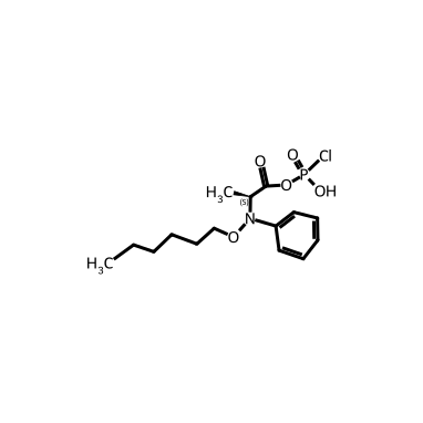 CCCCCCON(c1ccccc1)[C@@H](C)C(=O)OP(=O)(O)Cl